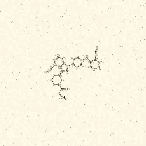 C=CC(=O)N1CCC[C@@H](n2nc(-c3ccc(Oc4ccncc4C#N)cc3)c3cncc(C#N)c32)C1